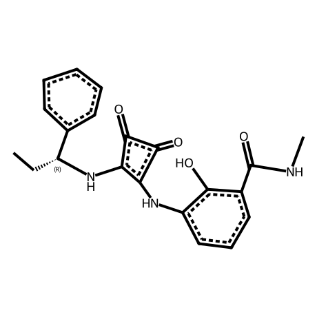 CC[C@@H](Nc1c(Nc2cccc(C(=O)NC)c2O)c(=O)c1=O)c1ccccc1